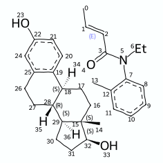 C/C=C/C(=O)N(CC)c1ccccc1C.C[C@]12CC[C@@H]3c4ccc(O)cc4CC[C@H]3[C@@H]1CC[C@@H]2O